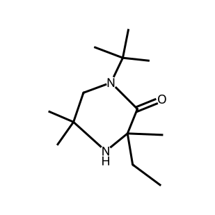 CCC1(C)NC(C)(C)CN(C(C)(C)C)C1=O